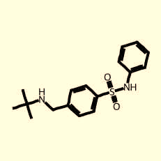 CC(C)(C)NCc1ccc(S(=O)(=O)Nc2ccccc2)cc1